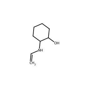 C=CNC1CCCCC1O